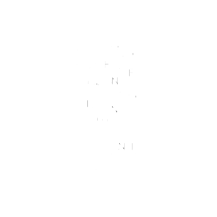 C[C@@]1(NC(=O)CCC2(N)CCCCC2)C(=O)N(C(F)(F)C(=O)OF)[C@@H]1Oc1ccccc1